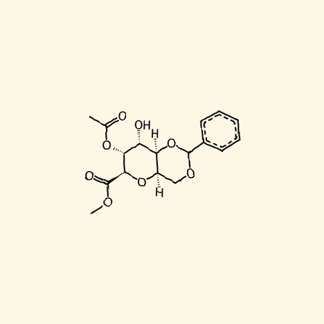 COC(=O)[C@@H]1O[C@@H]2COC(c3ccccc3)O[C@@H]2[C@@H](O)[C@H]1OC(C)=O